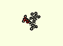 CN1c2cc3c(cc2B2c4ccccc4N(c4ccccc4)c4c2c1c1c2ccccc2n2c5ccccc5c4c12)B1c2cc4c(cc2Oc2c1c(c1c5ccccc5n5c6ccccc6c2c15)O3)N(C)c1c2c(c3c5ccccc5n5c6ccccc6c1c35)N(c1ccccc1)c1ccccc1B42